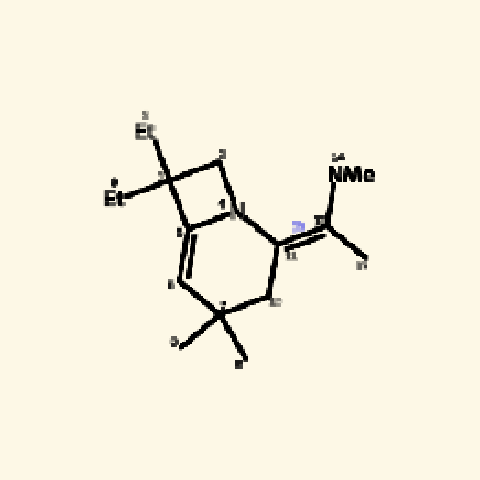 CCC1(CC)CN2C1=CC(C)(C)C/C2=C(\C)NC